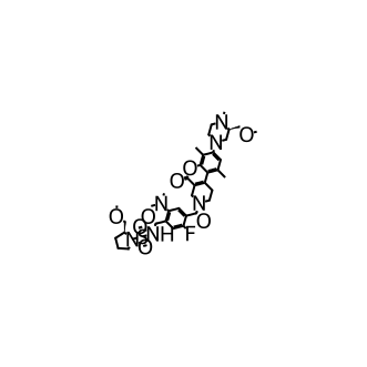 COC[C@H]1CN(c2cc(C)c3c4c(c(=O)oc3c2C)CN(C(=O)c2cc(N(C)C)c(C(=O)NS(=O)(=O)N3CCC[C@H]3COC)cc2F)CC4)CCN1C